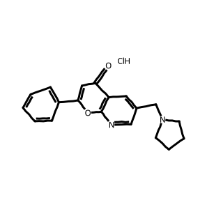 Cl.O=c1cc(-c2ccccc2)oc2ncc(CN3CCCC3)cc12